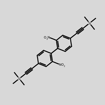 C[Si](C)(C)C#Cc1ccc(-c2ccc(C#C[Si](C)(C)C)cc2[N+](=O)[O-])c([N+](=O)[O-])c1